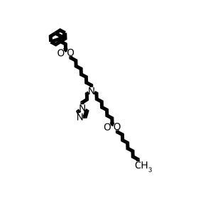 CCCCCCCCCOC(=O)CCCCCCCN(CCCCCCCCOC(=O)CC12CC3CC(CC(C3)C1)C2)CCCn1ccnc1